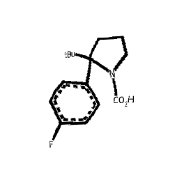 CC(C)(C)C1(c2ccc(F)cc2)CCCN1C(=O)O